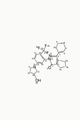 O=c1c2c(c(C3=CCCCC3)nn1-c1cc(N3CCC(O)C3)ccc1C(F)(F)F)CCC2